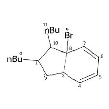 CCCCC1[C]C2C=CC=CC2(Br)C1CCCC